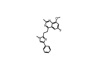 COc1cc(F)cc2c(CCc3nc(-c4ccccc4)cn3C)nc(C)nc12